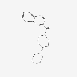 O=C(c1cnc2ccccc2c1)N1CCC(N2CCOCC2)CC1